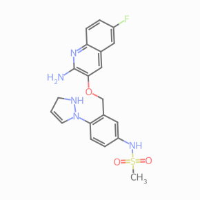 CS(=O)(=O)Nc1ccc(N2C=CCN2)c(COc2cc3cc(F)ccc3nc2N)c1